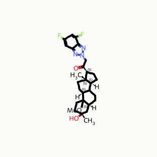 COCC12CC[C@@](C)(O)C[C@@H]1CCC1[C@@H]2CC[C@]2(C)[C@@H](C(=O)Cn3nc4cc(F)cc(F)c4n3)CC[C@@H]12